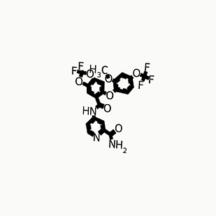 COc1cc(OC(F)(F)F)ccc1Oc1cc2c(cc1C(=O)Nc1ccnc(C(N)=O)c1)OC(F)(F)O2